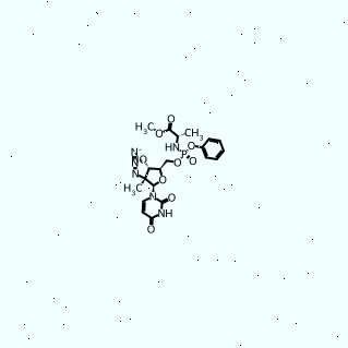 COC(=O)[C@H](C)N[P@](=O)(OC[C@H]1O[C@@H](n2ccc(=O)[nH]c2=O)[C@](C)(N=[N+]=[N-])[C@@H]1O)Oc1ccccc1